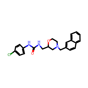 O=C(NCC1CN(Cc2ccc3ccccc3c2)CCO1)Nc1ccc(Cl)cc1